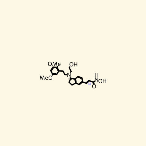 COc1ccc(OC)c(CCN(CCO)[C@H]2CCc3cc(/C=C/C(=O)NO)ccc32)c1